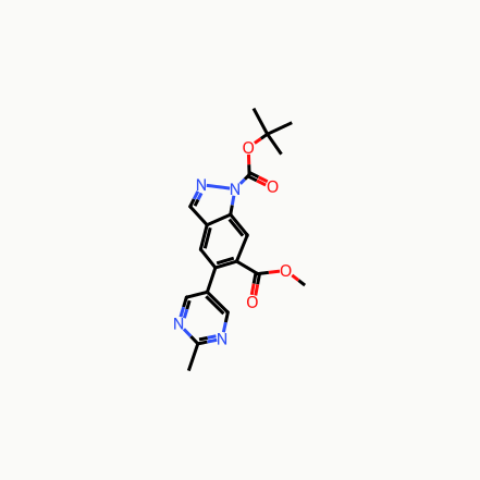 COC(=O)c1cc2c(cnn2C(=O)OC(C)(C)C)cc1-c1cnc(C)nc1